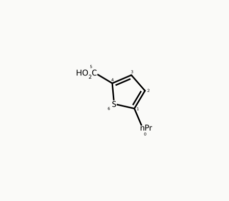 CCCc1ccc(C(=O)O)s1